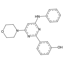 Oc1cccc(-c2nc(Nc3ccccc3)cc(N3CCOCC3)n2)c1